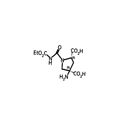 CCOC(=O)NC(=O)N1C[C@@](N)(C(=O)O)C[C@H]1C(=O)O